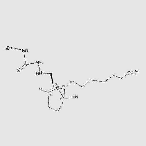 CCCCNC(=S)NNC[C@H]1[C@H](CCCCCCC(=O)O)[C@H]2CC[C@@H]1O2